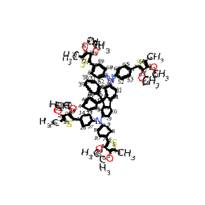 COc1c(C)sc(-c2ccc(N(c3ccc(-c4sc(C)c(OC)c4OC)cc3)c3ccc4c(c3)C(c3ccccc3)(c3ccccc3)c3cc(N(c5ccc(-c6sc(C)c(OC)c6OC)cc5)c5ccc(-c6sc(C)c(OC)c6OC)cc5)ccc3-4)cc2)c1OC